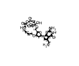 [N-]=[N+]=NCO[C@@H]1C[C@H](n2cc(CN)c3c(=O)[nH]c(N)nc32)O[C@@H]1COP(=O)(O)OP(=O)(O)OP(=O)(O)O